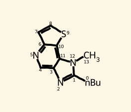 CCCCc1nc2cnc3ccsc3c2n1C